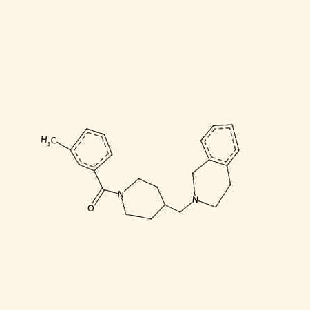 Cc1cccc(C(=O)N2CCC(CN3CCc4ccccc4C3)CC2)c1